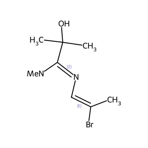 CN/C(=N\C=C(/C)Br)C(C)(C)O